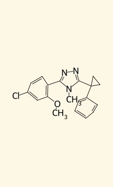 COc1cc(Cl)ccc1-c1nnc(C2(c3ccccc3)CC2)n1C